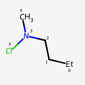 CCCCN(C)Cl